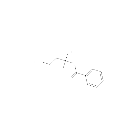 CC(C)(CC[SiH3])OC(=O)c1ccccc1